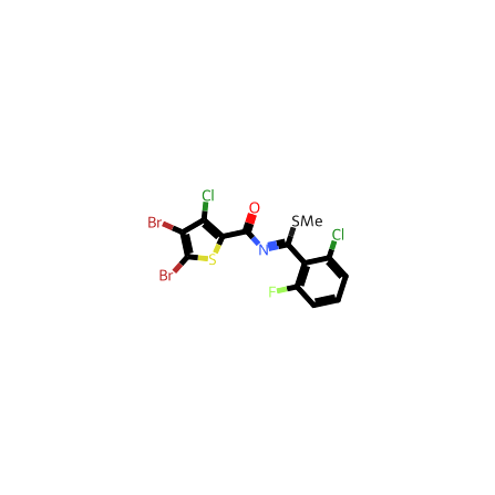 CS/C(=N\C(=O)c1sc(Br)c(Br)c1Cl)c1c(F)cccc1Cl